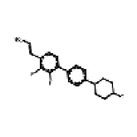 CCCCC=Cc1ccc(-c2ccc(C3CCC(F)CC3)cc2)c(F)c1F